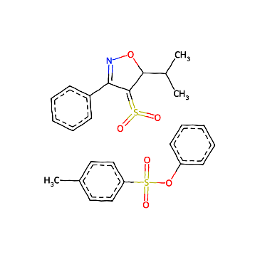 CC(C)C1ON=C(c2ccccc2)C1=S(=O)=O.Cc1ccc(S(=O)(=O)Oc2ccccc2)cc1